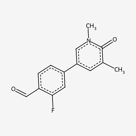 Cc1cc(-c2ccc(C=O)c(F)c2)cn(C)c1=O